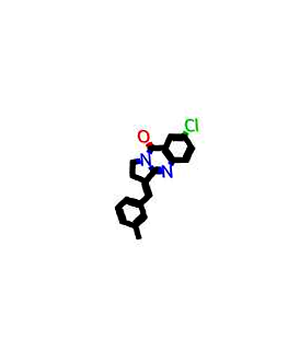 Cc1cccc(/C=C2\CCn3c2nc2ccc(Cl)cc2c3=O)c1